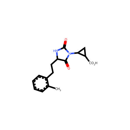 Cc1ccccc1CCC1NC(=O)N(C2CC2C(=O)O)C1=O